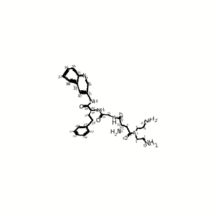 NCCN(CCN)C(=O)C[C@H](N)C(=O)NCC(=O)N[C@@H](CCc1ccccc1)C(=O)Nc1cnc2ccccc2c1